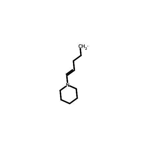 [CH2]CCC=CN1CCCCC1